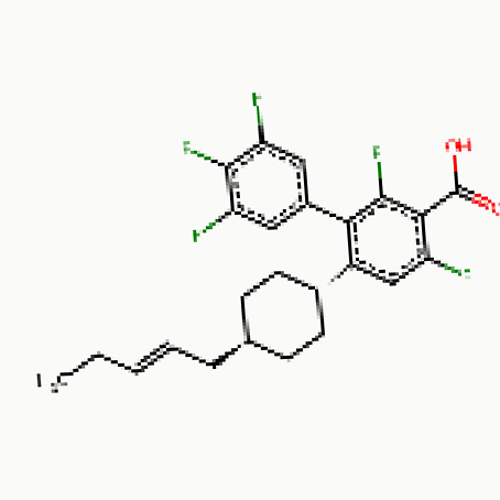 CC/C=C/C[C@H]1CC[C@H](c2cc(F)c(C(=O)O)c(F)c2-c2cc(F)c(F)c(F)c2)CC1